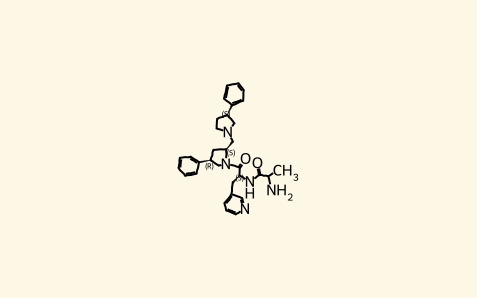 CC(N)C(=O)N[C@@H](Cc1cccnc1)C(=O)N1C[C@@H](c2ccccc2)C[C@H]1CN1CC[C@@H](c2ccccc2)C1